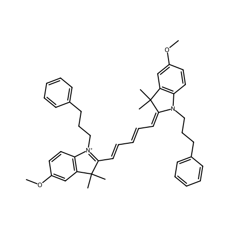 COc1ccc2c(c1)C(C)(C)C(/C=C/C=C/C=C1/N(CCCc3ccccc3)c3ccc(OC)cc3C1(C)C)=[N+]2CCCc1ccccc1